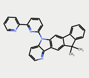 CC1(C)c2ccccc2-c2cc3c(cc21)c1ncccc1n3-c1cccc(-c2ccccn2)n1